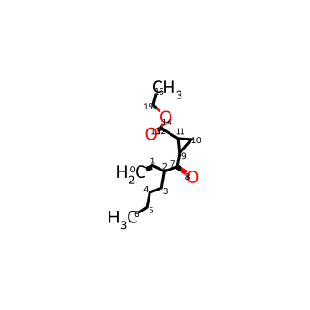 C=CC(CCCC)C(=O)C1CC1C(=O)OCC